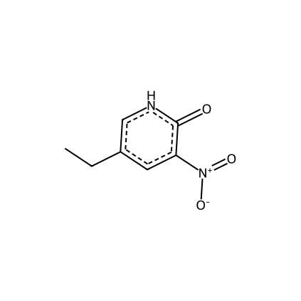 CCc1c[nH]c(=O)c([N+](=O)[O-])c1